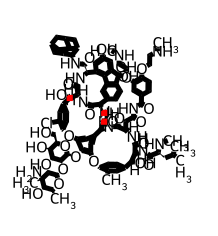 CNCCOc1ccc(C(=O)NC(=O)C[C@@H]2NC(=O)[C@H](NC(=O)[C@@H](CC(C)C)NC)[C@H](O)c3ccc(c(C)c3)Oc3cc4cc(c3O[C@@H]3O[C@H](CO)[C@@H](O)[C@H](O)[C@H]3O[C@H]3C[C@](C)(N)[C@H](O)[C@H](C)O3)Oc3ccc(cc3Cl)[C@@H](O)[C@@H]3NC(=O)[C@H](NC(=O)[C@@H]4NC2=O)c2ccc4c(c2)-c2c(cc(O)cc2C4(O)O)[C@@H](C(=O)NC2C4CC5CC(C4)CC2C5)NC3=O)cc1OCCNC